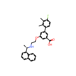 Cc1c(F)ccc(-c2cc(OCCN[C@H](C)c3cccc4ccccc34)cc(C(=O)O)c2)c1C